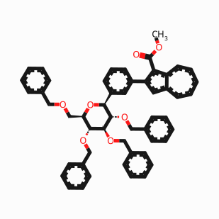 COC(=O)c1c2cccccc-2cc1-c1cccc([C@@H]2O[C@H](COCc3ccccc3)[C@@H](OCc3ccccc3)[C@H](OCc3ccccc3)[C@H]2OCc2ccccc2)c1